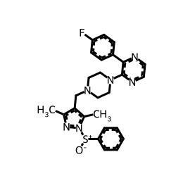 Cc1nn([S+]([O-])c2ccccc2)c(C)c1CN1CCN(c2nccnc2-c2ccc(F)cc2)CC1